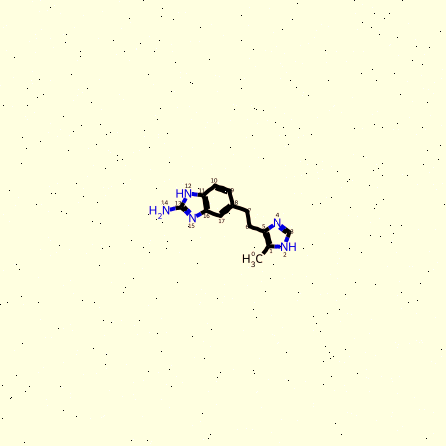 Cc1[nH]cnc1CCc1ccc2[nH]c(N)nc2c1